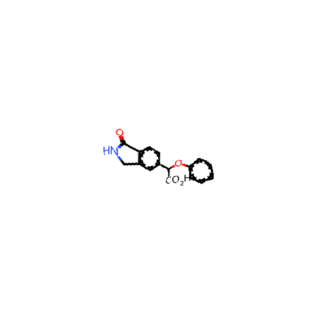 O=C1NCc2cc(C(Oc3ccccc3)C(=O)O)ccc21